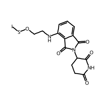 O=C1CCC(N2C(=O)c3cccc(NCCOSI)c3C2=O)C(=O)N1